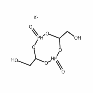 O=[PH]1OC(CO)O[PH](=O)OC(CO)O1.[K]